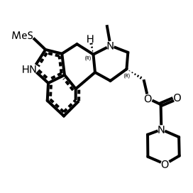 CSc1[nH]c2cccc3c2c1C[C@@H]1C3C[C@@H](COC(=O)N2CCOCC2)CN1C